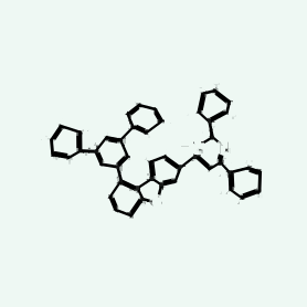 C1=C(c2ccc3c(c2)oc2cccc(-c4cc(-c5ccccc5)cc(-c5ccccc5)c4)c23)NC(c2ccccc2)N=C1c1ccccc1